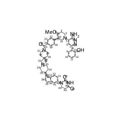 CO[C@@H]1CCN(c2cc(-c3ccccc3O)nnc2N)C[C@H]1c1ccc(C(=O)N2CCC(F)(CN3CCC(n4ccc5cc(N6CCC(=O)NC6=O)ccc54)CC3)CC2)cc1